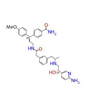 COc1ccc([C@H](CCNC(=O)Cc2cccc(CC(C)NC[C@@H](O)c3ccc(N)nc3)c2)c2ccc(C(N)=O)cc2)cc1